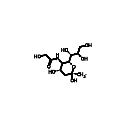 [CH2][C@]1(O)C[C@H](O)[C@@H](NC(=O)CO)[C@H]([C@H](O)[C@H](O)CO)O1